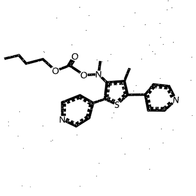 CCCCOC(=O)ON(C)c1c(-c2ccncc2)sc(-c2ccncc2)c1C